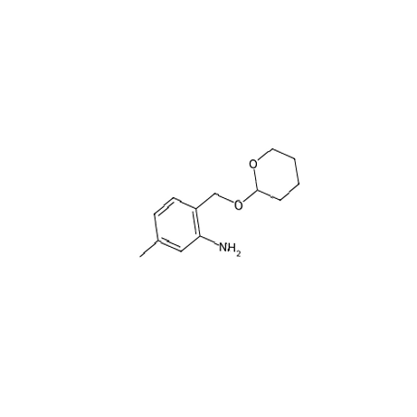 Cc1ccc(COC2CCCCO2)c(N)c1